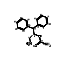 NC[C@@H](OC(N)=O)C(c1ccccc1)c1ccccc1